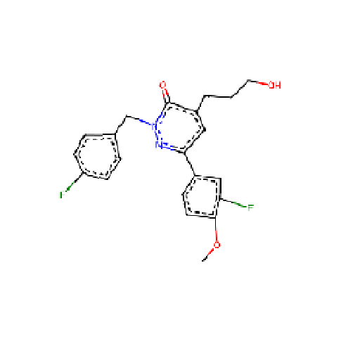 COc1ccc(-c2cc(CCCO)c(=O)n(Cc3ccc(F)cc3)n2)cc1F